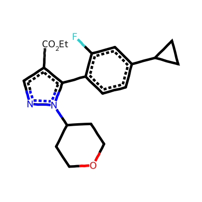 CCOC(=O)c1cnn(C2CCOCC2)c1-c1ccc(C2CC2)cc1F